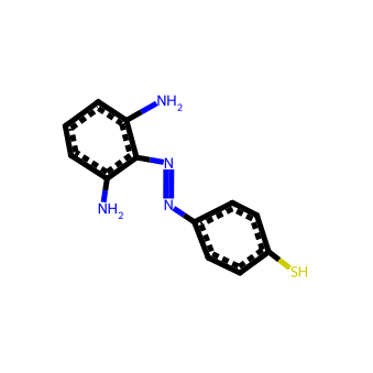 Nc1cccc(N)c1N=Nc1ccc(S)cc1